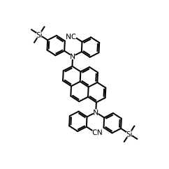 C[Si](C)(C)c1ccc(N(c2ccccc2C#N)c2ccc3ccc4c(N(c5ccc([Si](C)(C)C)cc5)c5ccccc5C#N)ccc5ccc2c3c54)cc1